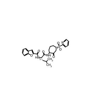 CC(C)C[C@H](NC(=O)c1cc2ccccc2o1)C(=O)NC1CCCN(S(=O)(=O)c2ccccn2)CC1=O